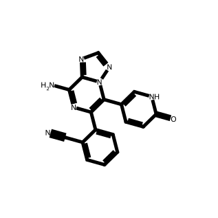 N#Cc1ccccc1-c1nc(N)c2ncnn2c1-c1ccc(=O)[nH]c1